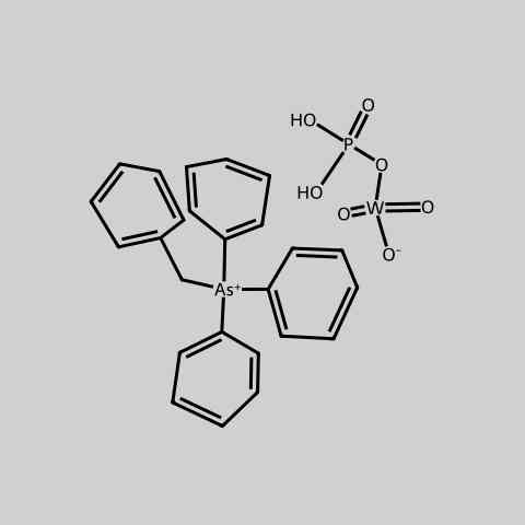 O=P(O)(O)[O][W](=[O])(=[O])[O-].c1ccc(C[As+](c2ccccc2)(c2ccccc2)c2ccccc2)cc1